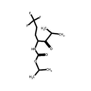 CC(C)OC(=O)NC(CCC(F)(F)F)C(=O)C(C)C